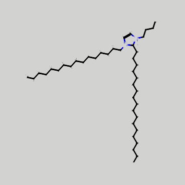 CCCCCCCCCCCCCCCCCCC1N(CCCC)C=CN1CCCCCCCCCCCCCCCC